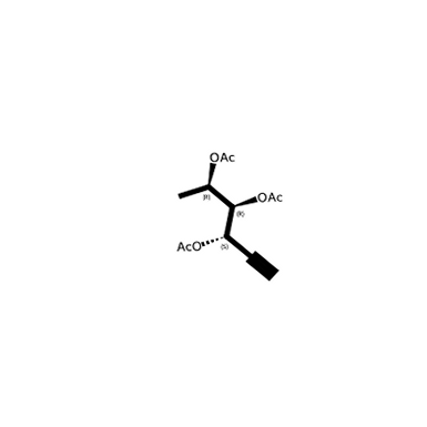 C#C[C@H](OC(C)=O)[C@H](OC(C)=O)[C@@H](C)OC(C)=O